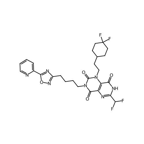 O=c1[nH]c(C(F)F)nc2c(=O)n(CCCCc3noc(-c4ccccn4)n3)c(=O)n(CCC3CCC(F)(F)CC3)c12